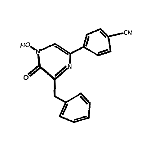 N#Cc1ccc(-c2cn(O)c(=O)c(Cc3ccccc3)n2)cc1